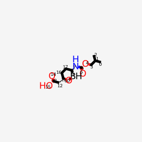 CC(C)COC(=O)N[C@@H]1BO[C@H](CC(=O)O)CC1